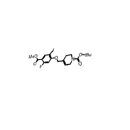 COC(=O)c1cc(I)c(OCC2=CCN(C(=O)OC(C)(C)C)CC2)cc1F